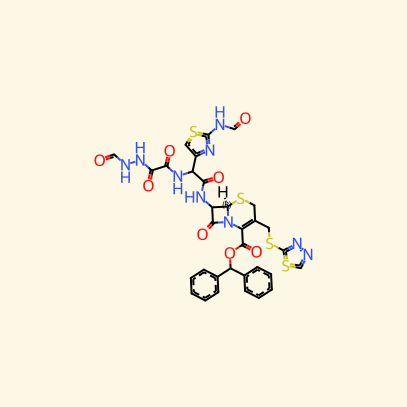 O=CNNC(=O)C(=O)NC(C(=O)NC1C(=O)N2C(C(=O)OC(c3ccccc3)c3ccccc3)=C(CSc3nncs3)CS[C@H]12)c1csc(NC=O)n1